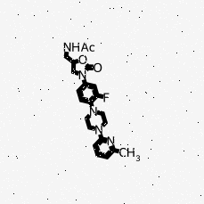 CC(=O)NCC1CN(c2ccc(N3CCN(c4cccc(C)n4)CC3)c(F)c2)C(=O)O1